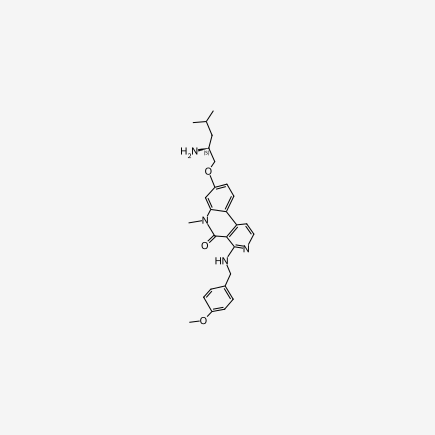 COc1ccc(CNc2nccc3c2c(=O)n(C)c2cc(OC[C@@H](N)CC(C)C)ccc32)cc1